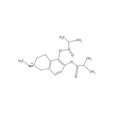 CN[C@@H]1CCc2c(ccc(OC(=O)C(C)C)c2OC(=O)C(C)C)C1